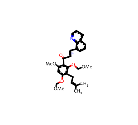 COCOc1cc(OC)c(C(=O)/C=C/c2cccc3cccnc23)c(OCOC)c1CC=C(C)C